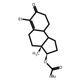 CCCCC(=O)O[C@@H]1CCC2C3CCC(=O)C(CC)=C3CC[C@]21C